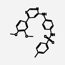 COc1ccc(-c2cc(Nc3ccc(NS(=O)(=O)c4ccc(C)cc4)cc3)ncn2)cc1OC